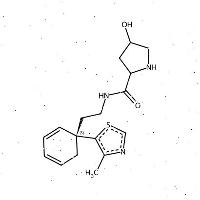 Cc1ncsc1[C@@]1(CCNC(=O)C2CC(O)CN2)C=CC=CC1